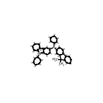 CC1(C)c2ccccc2-c2ccc(P(c3ccccc3)c3ccc4c(c3)c3ccccc3n4-c3ccccc3)cc21